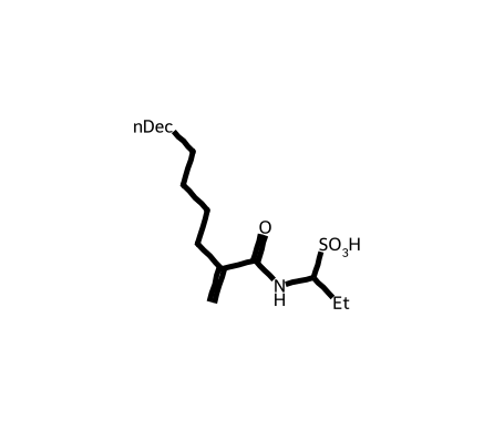 C=C(CCCCCCCCCCCCCC)C(=O)NC(CC)S(=O)(=O)O